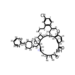 CCCc1cc(Cl)ccc1C1COc2ccc3cc2N(C1)CC1CCC1C(CN1CCN(c2ncccn2)CC1)(OC)/C=C/CC(C)C(C)[S+]([O-])NC3=O